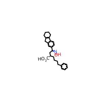 O=C(O)[C@H](CCCCc1ccccc1)CC(=NO)c1ccc2c(c1)CC1=C2CCCC1